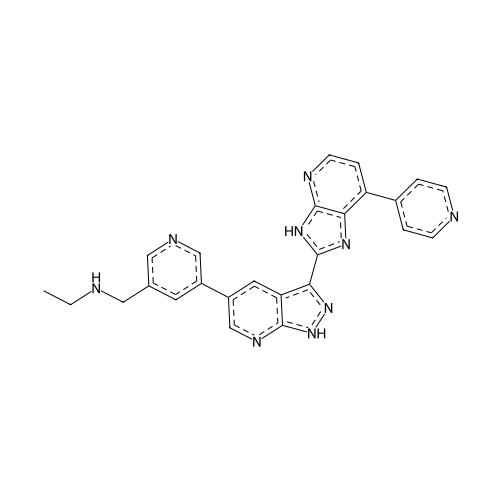 CCNCc1cncc(-c2cnc3[nH]nc(-c4nc5c(-c6ccncc6)ccnc5[nH]4)c3c2)c1